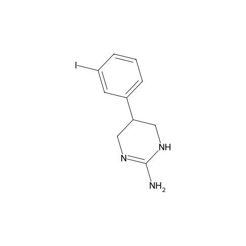 NC1=NCC(c2cccc(I)c2)CN1